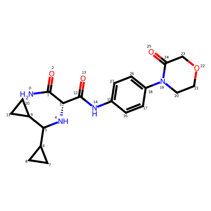 NC(=O)[C@@H](NC(C1CC1)C1CC1)C(=O)Nc1ccc(N2CCOCC2=O)cc1